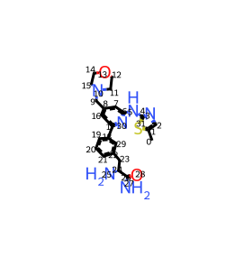 Cc1cnc(Nc2cc(CN3CCOCC3)cc(-c3cccc(C[C@H](N)C(N)=O)c3)n2)s1